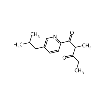 CCC(=O)C(C)C(=O)c1ccc(CC(C)C)cn1